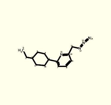 CCC1CCC(c2cccc(CN=[N+]=[N-])n2)CC1